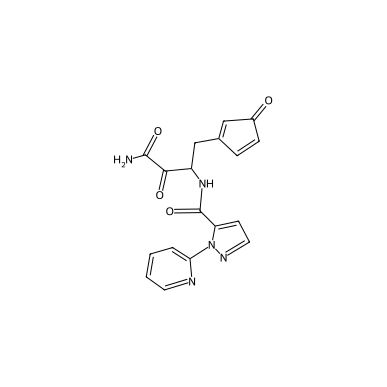 NC(=O)C(=O)C(CC1=CC(=O)C=C1)NC(=O)c1ccnn1-c1ccccn1